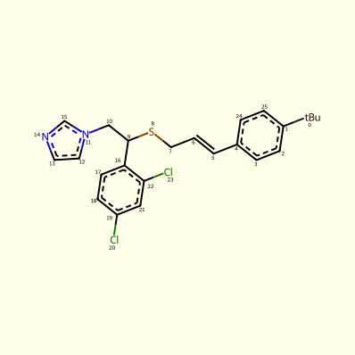 CC(C)(C)c1ccc(C=CCSC(Cn2ccnc2)c2ccc(Cl)cc2Cl)cc1